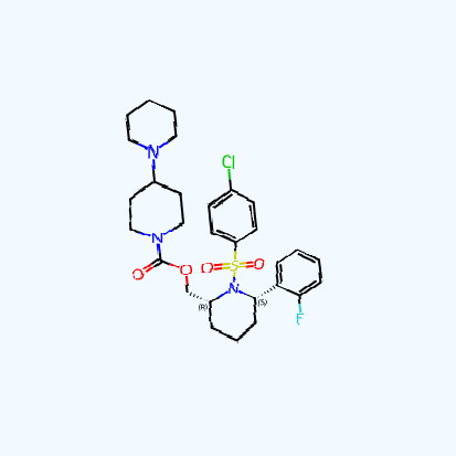 O=C(OC[C@H]1CCC[C@@H](c2ccccc2F)N1S(=O)(=O)c1ccc(Cl)cc1)N1CCC(N2CCCCC2)CC1